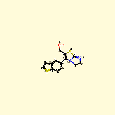 OCC1=C(c2ccc3sccc3c2)N2CCN=C2S1